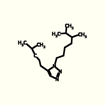 CC(C)CCCc1cnnn1CCCCC(C)C(C)C